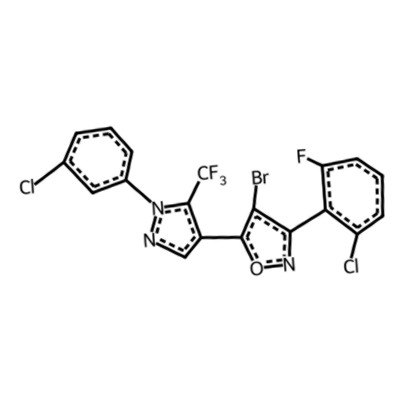 Fc1cccc(Cl)c1-c1noc(-c2cnn(-c3cccc(Cl)c3)c2C(F)(F)F)c1Br